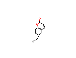 N#CCc1ccc2oc(=O)ccc2c1